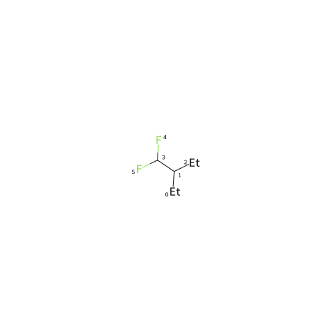 CCC(CC)C(F)F